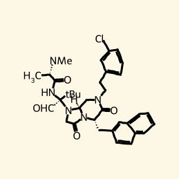 CN[C@@H](C)C(=O)N[C@](C=O)(N1CC(=O)N2[C@@H](Cc3ccc4ccccc4c3)C(=O)N(CCc3cccc(Cl)c3)C[C@@H]21)C(C)(C)C